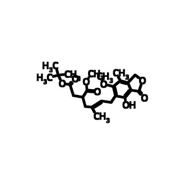 COC(=O)C(CC(=O)OC(C)(C)C)C/C(C)=C/Cc1c(O)c2c(c(C)c1OC)COC2=O